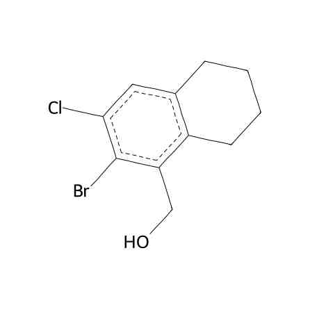 OCc1c(Br)c(Cl)cc2c1CCCC2